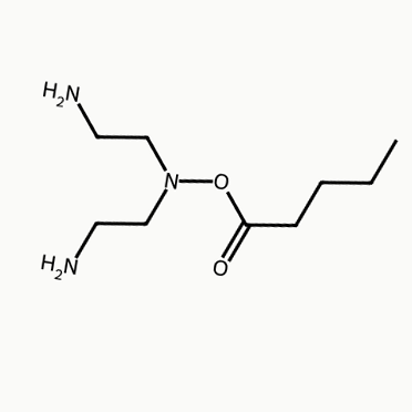 CCCCC(=O)ON(CCN)CCN